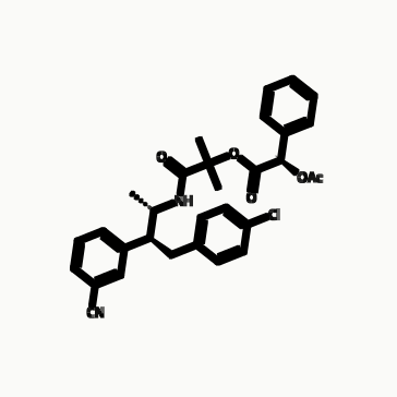 CC(=O)O[C@@H](C(=O)OC(C)(C)C(=O)N[C@@H](C)[C@@H](Cc1ccc(Cl)cc1)c1cccc(C#N)c1)c1ccccc1